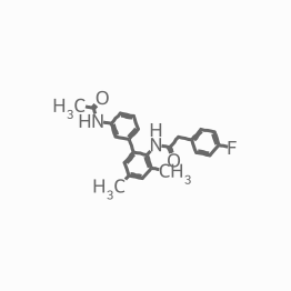 CC(=O)Nc1cccc(-c2cc(C)cc(C)c2NC(=O)Cc2ccc(F)cc2)c1